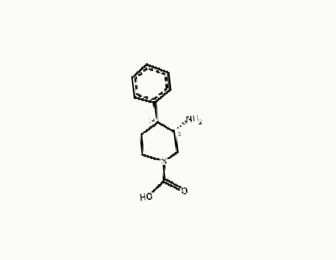 N[C@@H]1CN(C(=O)O)CC[C@H]1c1ccccc1